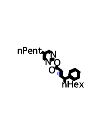 CCCCCCC(/C=C/C(=O)Oc1ncc(CCCCC)cn1)c1ccccc1